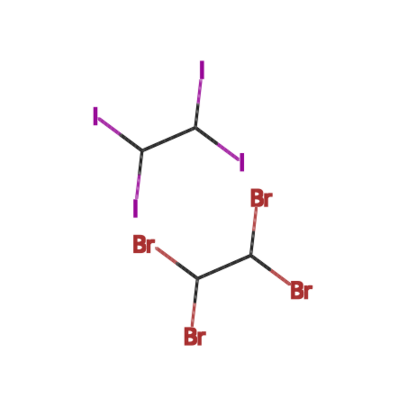 BrC(Br)C(Br)Br.IC(I)C(I)I